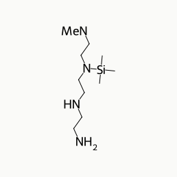 CNCCN(CCNCCN)[Si](C)(C)C